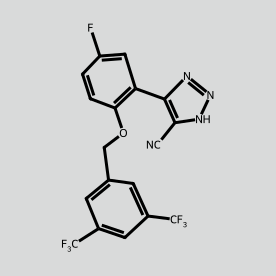 N#Cc1[nH]nnc1-c1cc(F)ccc1OCc1cc(C(F)(F)F)cc(C(F)(F)F)c1